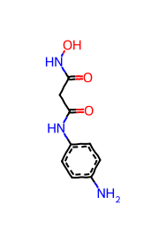 Nc1ccc(NC(=O)CC(=O)NO)cc1